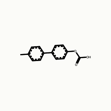 Cc1ccc(-c2ccc(OC(=O)O)cc2)cc1